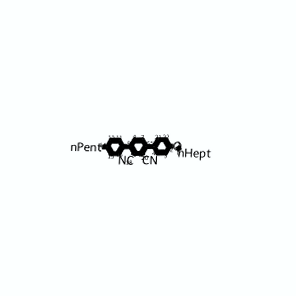 CCCCCCCOc1ccc(-c2ccc(-c3ccc(CCCCC)cc3)c(C#N)c2C#N)cc1